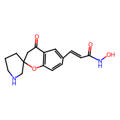 O=C(/C=C/c1ccc2c(c1)C(=O)CC1(CCCNC1)O2)NO